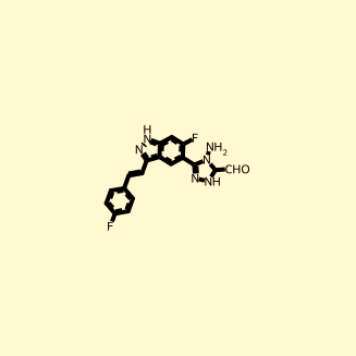 NN1C(c2cc3c(/C=C/c4ccc(F)cc4)n[nH]c3cc2F)=NNC1C=O